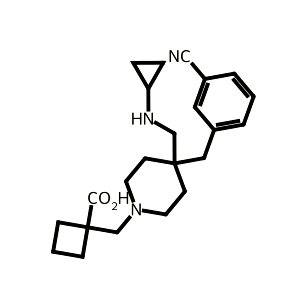 N#Cc1cccc(CC2(CNC3CC3)CCN(CC3(C(=O)O)CCC3)CC2)c1